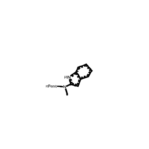 CCCCCN(C)c1cc2ccccc2[nH]1